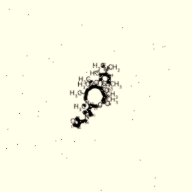 CO[C@]1(C)C[C@@H](C)CN(C)C(C2CN(CC3CCOC3)C2)COC(=O)C(C)(C)C(=O)[C@H](C)[C@H]1O[C@@H]1O[C@H](C)C[C@H](N(C)C)[C@H]1O